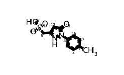 Cc1ccc(-n2[nH]c(CS(=O)(=O)O)cc2=O)cc1